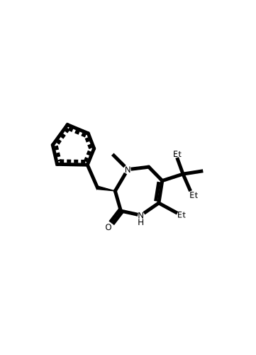 CCC1=C(C(C)(CC)CC)CN(C)[C@H](Cc2ccccc2)C(=O)N1